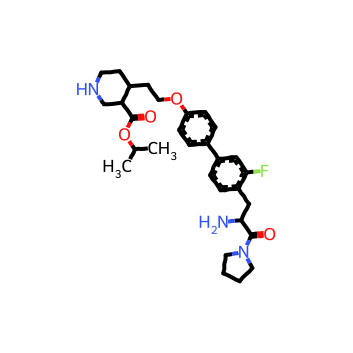 CC(C)OC(=O)C1CNCCC1CCOc1ccc(-c2ccc(CC(N)C(=O)N3CCCC3)c(F)c2)cc1